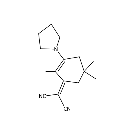 CC1=C(N2CCCC2)CC(C)(C)CC1=C(C#N)C#N